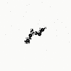 Cc1n[nH]c2c(C)cc(NC(=O)c3ccc4c(c3)nc(CN3CC=C(c5cccc6c5OC(C)(c5ccc(C#N)cc5F)O6)CC3)n4CC3CCO3)cc12